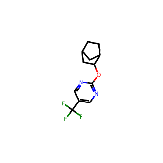 FC(F)(F)c1cnc(OC2CC3CCC2C3)nc1